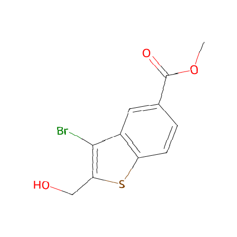 COC(=O)c1ccc2sc(CO)c(Br)c2c1